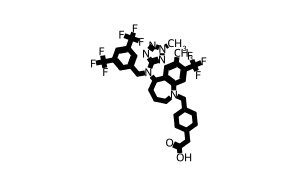 Cc1cc2c(cc1C(F)(F)F)N(CC1CCC(CC(=O)O)CC1)CCCC2N(Cc1cc(C(F)(F)F)cc(C(F)(F)F)c1)c1nnn(C)n1